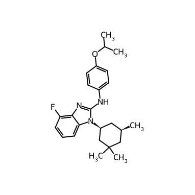 CC(C)Oc1ccc(Nc2nc3c(F)cccc3n2[C@H]2C[C@@H](C)CC(C)(C)C2)cc1